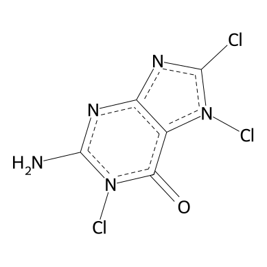 Nc1nc2nc(Cl)n(Cl)c2c(=O)n1Cl